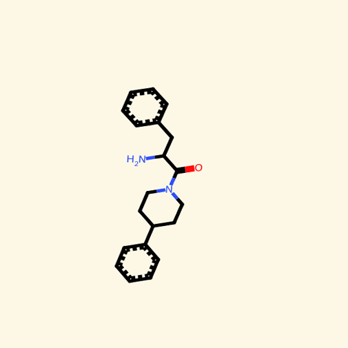 NC(Cc1ccccc1)C(=O)N1CCC(c2ccccc2)CC1